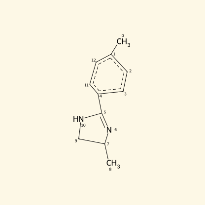 Cc1ccc(C2=NC(C)CN2)cc1